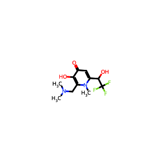 CN(C)Cc1c(O)c(=O)cc(C(O)C(F)(F)F)n1C